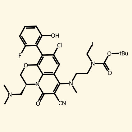 CN(C)C[C@H]1COc2c(-c3c(O)cccc3F)c(Cl)cc3c(N(C)CCN(CI)C(=O)OC(C)(C)C)c(C#N)c(=O)n1c23